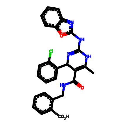 CC1=C(C(=O)NCc2ccccc2C(=O)O)C(c2ccccc2Cl)N=C(Nc2nc3ccccc3o2)N1